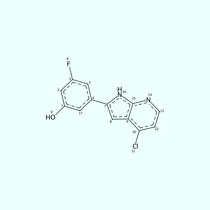 Oc1cc(F)cc(-c2cc3c(Cl)ccnc3[nH]2)c1